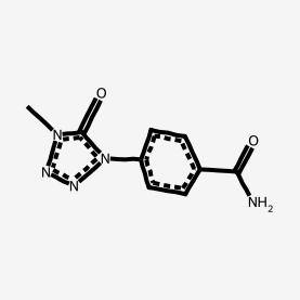 Cn1nnn(-c2ccc(C(N)=O)cc2)c1=O